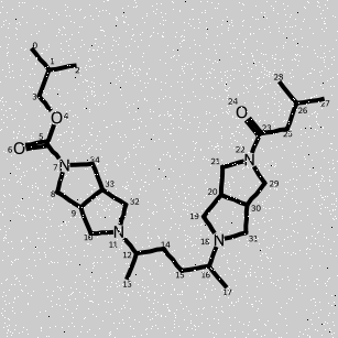 CC(C)COC(=O)N1CC2CN(C(C)CCC(C)N3CC4CN(C(=O)CC(C)C)CC4C3)CC2C1